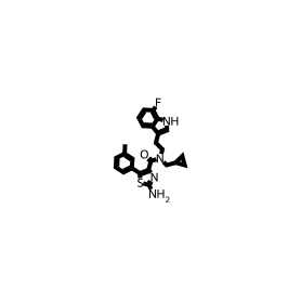 Cc1cccc(-c2sc(N)nc2C(=O)N(CCc2c[nH]c3c(F)cccc23)CC2CC2)c1